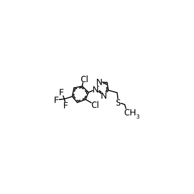 CCSCc1cnn(-c2c(Cl)cc(C(F)(F)F)cc2Cl)n1